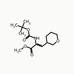 COC(=O)C(=CC1CCCOC1)NC(=O)OC(C)(C)C